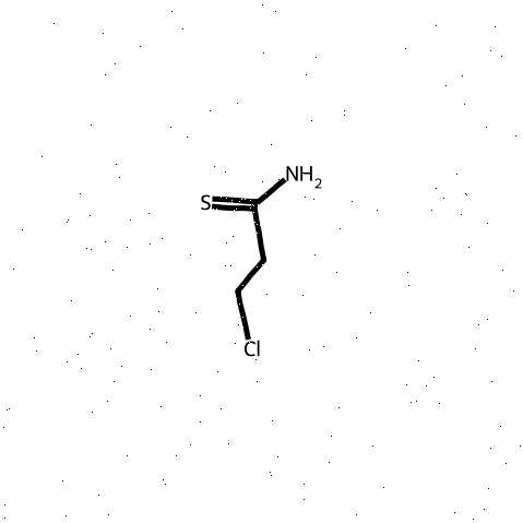 NC(=S)CCCl